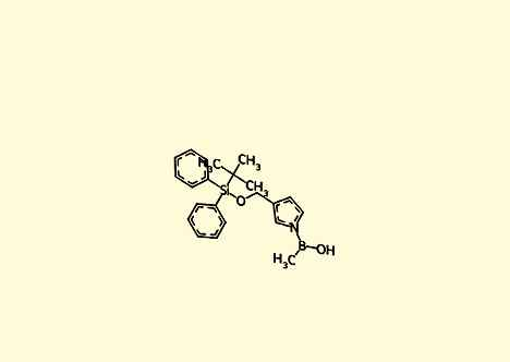 CB(O)n1ccc(CO[Si](c2ccccc2)(c2ccccc2)C(C)(C)C)c1